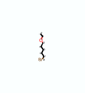 [CH2]COCCCCCBr